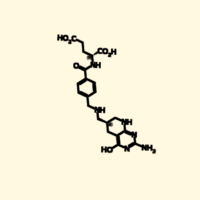 Nc1nc(O)c2c(n1)NC[C@H](CNCc1ccc(C(=O)N[C@H](CCC(=O)O)C(=O)O)cc1)C2